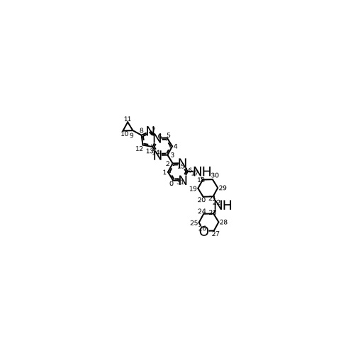 c1cc(-c2ccn3nc(C4CC4)cc3n2)nc(N[C@H]2CC[C@H](NC3CCOCC3)CC2)n1